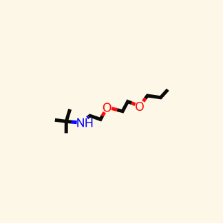 CCCOCCOCCNC(C)(C)C